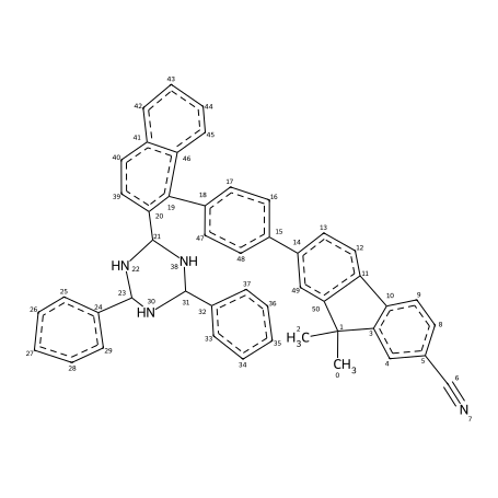 CC1(C)c2cc(C#N)ccc2-c2ccc(-c3ccc(-c4c(C5NC(c6ccccc6)NC(c6ccccc6)N5)ccc5ccccc45)cc3)cc21